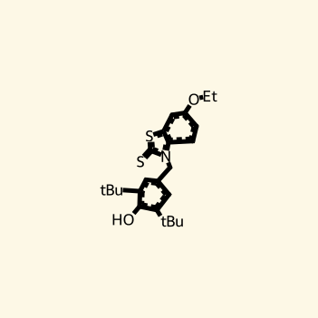 CCOc1ccc2c(c1)sc(=S)n2Cc1cc(C(C)(C)C)c(O)c(C(C)(C)C)c1